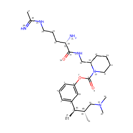 CC[C@@H](c1cccc(OC(=O)N2CCCCC2CNC(=O)[C@@H](N)CCCNC(C)=N)c1)[C@@H](C)CN(C)C